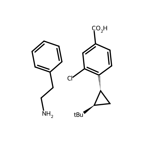 CC(C)(C)[C@@H]1C[C@H]1c1ccc(C(=O)O)cc1Cl.NCCc1ccccc1